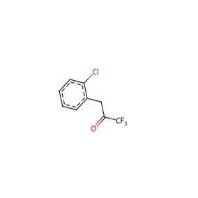 O=C(Cc1ccccc1Cl)C(F)(F)F